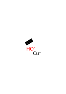 C#C.[Cu+].[OH-]